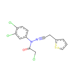 O=C(CCl)N([N+]#CCc1cccs1)c1ccc(Cl)c(Cl)c1